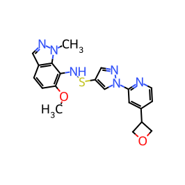 COc1ccc2cnn(C)c2c1NSc1cnn(-c2cc(C3COC3)ccn2)c1